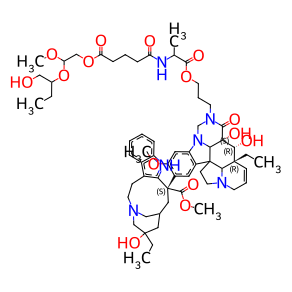 CCC(CO)OC(COC(=O)CCCC(=O)NC(C)C(=O)OCCCN1CN2c3cc(OC)c([C@@]4(C(=O)OC)CC5CN(CCc6c4[nH]c4ccccc64)CC(O)(CC)C5)cc3C34CCN5CC=C[C@](CC)(C53)[C@@H](O)[C@](O)(C1=O)C24)OC